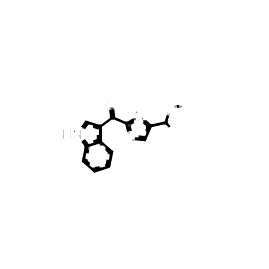 C=C(c1nc(C(O)OC)cs1)c1c[nH]c2ccccc12